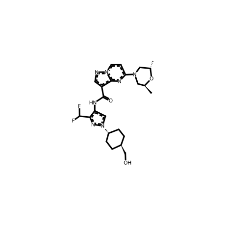 C[C@H]1CN(c2ccn3ncc(C(=O)Nc4cn([C@H]5CC[C@H](CO)CC5)nc4C(F)F)c3n2)C[C@H](C)O1